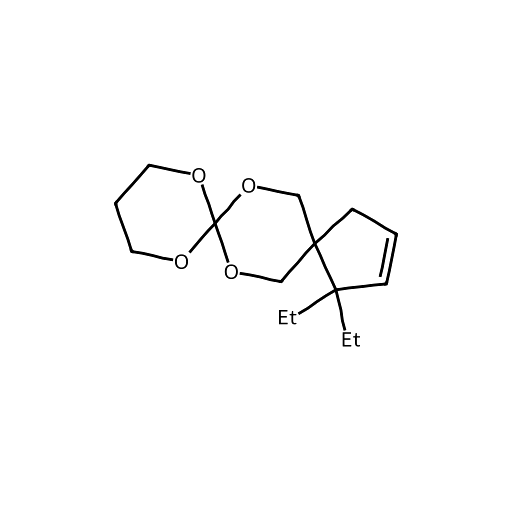 CCC1(CC)C=CCC12COC1(OCCCO1)OC2